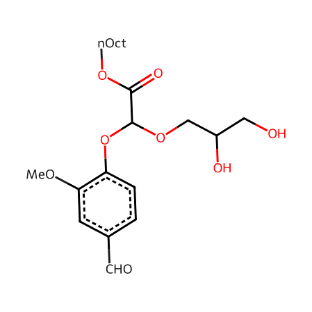 CCCCCCCCOC(=O)C(OCC(O)CO)Oc1ccc(C=O)cc1OC